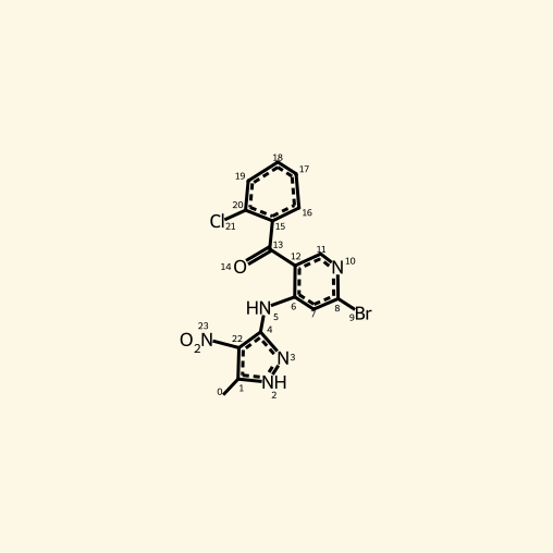 Cc1[nH]nc(Nc2cc(Br)ncc2C(=O)c2ccccc2Cl)c1[N+](=O)[O-]